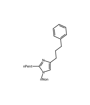 CCCCCCCCCn1cc(CCCc2ccccc2)nc1CCCCC